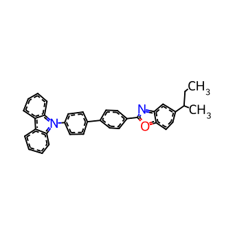 CCC(C)c1ccc2oc(-c3ccc(-c4ccc(-n5c6ccccc6c6ccccc65)cc4)cc3)nc2c1